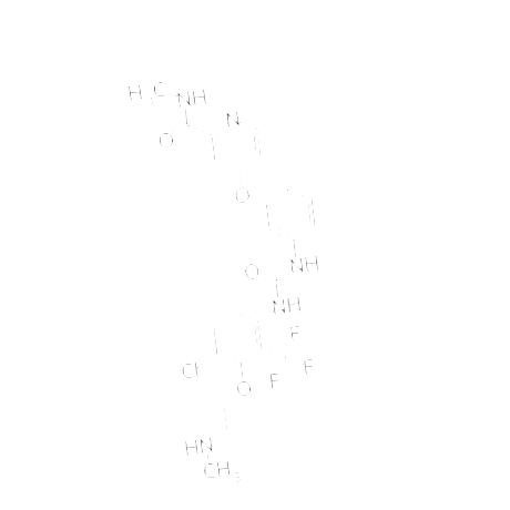 CNCCOc1c(Cl)ccc(NC(=O)Nc2cccc(Oc3ccnc(C(=O)NC)c3)c2)c1C(F)(F)F